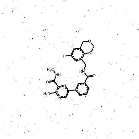 CNC(=O)c1nc(-c2cccc(C(=O)NCc3cc(F)cc4c3OCOC4)c2)cnc1N